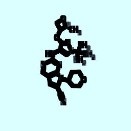 BC(B)(B)n1cc(Nc2ncc3cc(C#N)n(C4CCOCC4)c3n2)c(OC2CO[C@@H]2C)n1